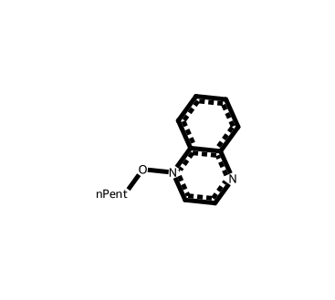 CCCCCO[n+]1ccnc2ccccc21